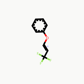 FC(F)(F)/C=C/Oc1ccccc1